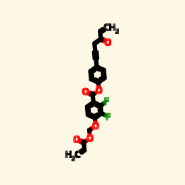 C=CC(=O)CC#Cc1ccc(OC(=O)c2ccc(OCOC(=O)C=C)c(F)c2F)cc1